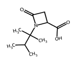 CC(C)C(C)(C)N1C(=O)CC1C(=O)O